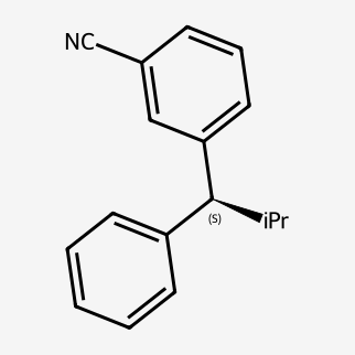 CC(C)[C@@H](c1ccccc1)c1cccc(C#N)c1